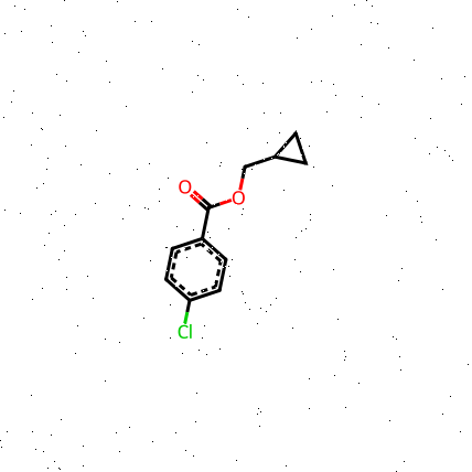 O=C(OCC1CC1)c1ccc(Cl)cc1